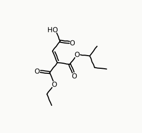 CCOC(=O)C(=CC(=O)O)C(=O)OC(C)CC